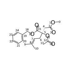 COC(=O)C[C@@](CC=C(C)C)(OC(C)=O)C(=O)OCc1ccccc1